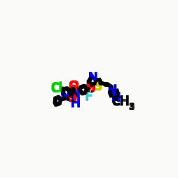 CN1CCN(CC#Cc2cc3nccc(Oc4ccc(NC(=O)c5cc(Cl)cn(Cc6ccccc6)c5=O)cc4F)c3s2)CC1